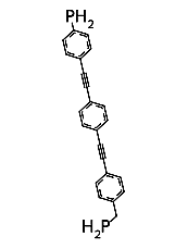 PCc1ccc(C#Cc2ccc(C#Cc3ccc(P)cc3)cc2)cc1